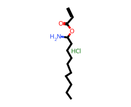 C=CC(=O)OC(N)CCCCCCCCC.Cl